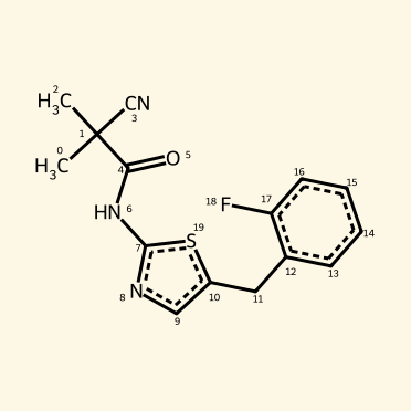 CC(C)(C#N)C(=O)Nc1ncc(Cc2ccccc2F)s1